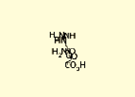 N=C(N)NCCC[C@H](N)C(=O)OC(=O)CCC(=O)O